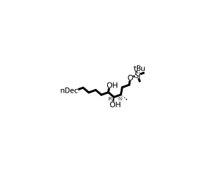 CCCCCCCCCCCCCCC(O)[C@H](O)[C@@H](C)CCO[Si](C)(C)C(C)(C)C